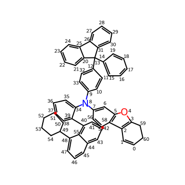 C1=Cc2c(oc3cc(N(c4ccc(C5(c6ccccc6)c6ccccc6-c6ccccc65)cc4)c4ccccc4-c4cccc5cccc(C6CCCCC6)c45)ccc23)CC1